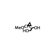 C1CC1.COC.OCCO